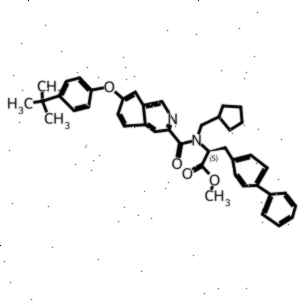 COC(=O)[C@H](Cc1ccc(-c2ccccc2)cc1)N(CC1CCCC1)C(=O)c1cc2ccc(Oc3ccc(C(C)(C)C)cc3)cc2cn1